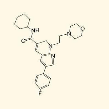 O=C(NC1CCCCC1)C1=Cc2cc(-c3ccc(F)cc3)cnc2N(CCN2CCOCC2)C1